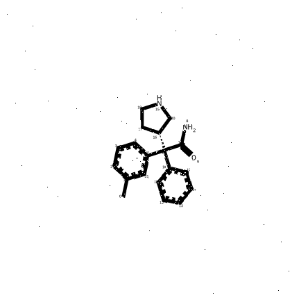 Cc1cccc(C(C(N)=O)(c2ccccc2)[C@@H]2CCNC2)c1